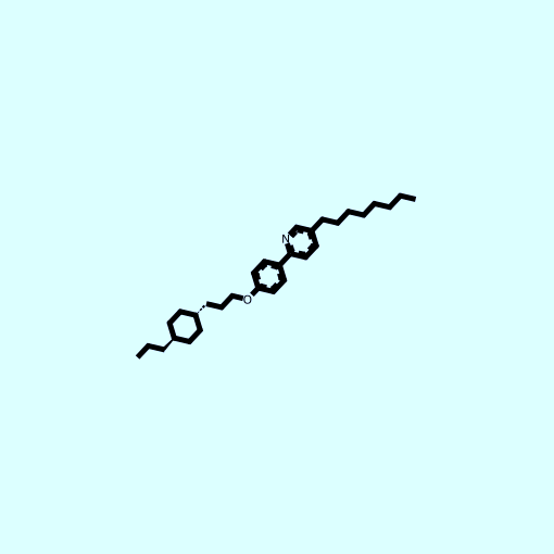 CCCCCCCCc1ccc(-c2ccc(OCCC[C@H]3CC[C@H](CCC)CC3)cc2)nc1